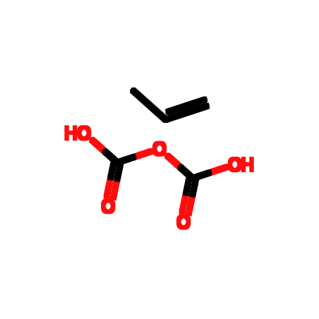 C=CC.O=C(O)OC(=O)O